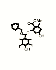 COC(=O)c1c(C)cc(O)cc1C.Cc1c(I)c(O)c(I)c(C)c1C(=O)OCc1ccccc1